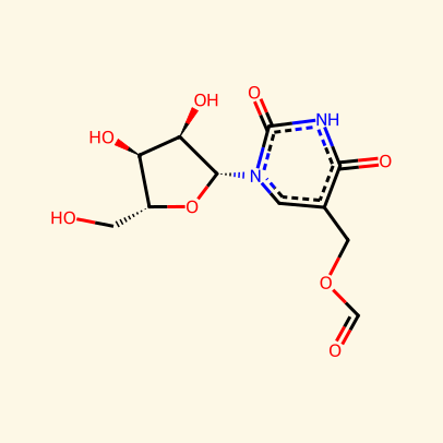 O=COCc1cn([C@@H]2O[C@H](CO)[C@@H](O)[C@H]2O)c(=O)[nH]c1=O